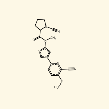 COc1ccc(-c2csc(N(C)C(=O)C3CCCN3C#N)n2)nc1C#N